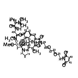 CC[C@@H](C)[C@@H]([C@@H](CC(=O)N1CCC[C@H]1[C@H](OC)[C@@H](C)C(=O)N[C@@H](Cc1ccccc1)C(=O)NCCOCCOCCN1C(=O)C=CC1=O)OC)N(C)C(=O)CNC(=O)C(C(C)C)N(C)C